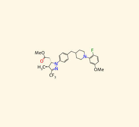 COC(=O)C[C@H]1[C@H](C)C(C(F)(F)F)=NN1c1ccc(CC2CCN(c3cc(OC)ccc3F)CC2)cc1